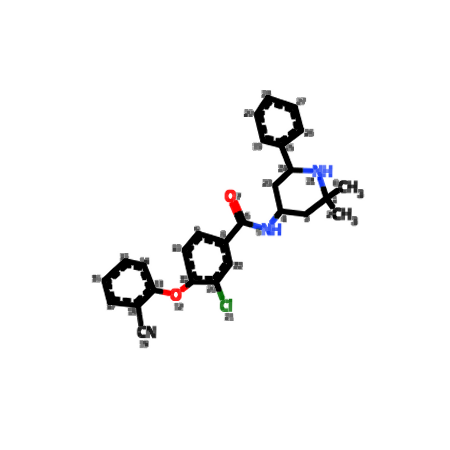 CC1(C)CC(NC(=O)c2ccc(Oc3ccccc3C#N)c(Cl)c2)CC(c2ccccc2)N1